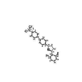 [O-][S+](c1ccc(-c2ccc([C@H]3CCC(c4c(F)cccc4F)=N3)cc2)cc1)C(F)(F)F